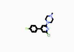 CN1CCN(c2cc(-c3ccc(F)cc3)cc(Cl)n2)CC1